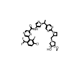 CO[C@H]1CN(CC2CCN2c2ncc(C(C)n3cc(NC(=O)c4cncc(-c5c(C(F)F)ccc(Cl)c5F)n4)cn3)cn2)C[C@@H]1O